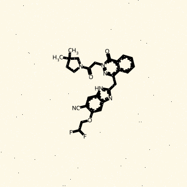 CC1(C)CCN(C(=O)Cn2nc(Cc3nc4cc(OCC(F)F)c(C#N)cc4[nH]3)c3ccccc3c2=O)C1